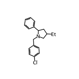 [CH2]CC1CC(c2ccccc2)N(Cc2ccc(Cl)cc2)C1